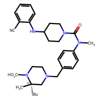 CN(C(=O)N1CCC(Nc2ccccc2C#N)CC1)c1ccc(CN2CCN(C(=O)O)[C@@](C)(C(C)(C)C)C2)cc1